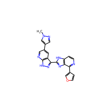 Cn1cc(-c2cnc3[nH]nc(-c4nc5c(-c6ccoc6)nccc5[nH]4)c3c2)cn1